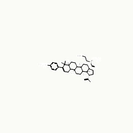 C=C(C)[C@@H]1CC[C@]2(C(=O)N(CCO)C(=O)O)CC[C@]3(C)[C@H](CC[C@@H]4[C@@]5(C)CC=C(c6ccc(C(=O)O)cc6)C(C)(C)[C@@H]5CC[C@]43C)[C@@H]12